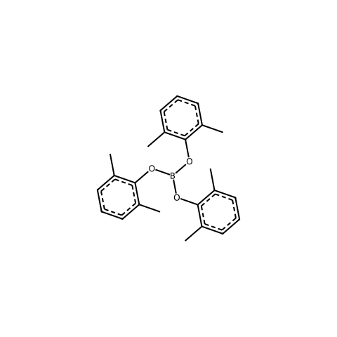 Cc1cccc(C)c1OB(Oc1c(C)cccc1C)Oc1c(C)cccc1C